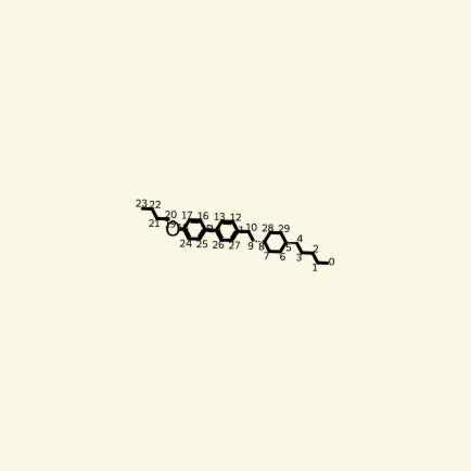 CCCCC[C@H]1CC[C@H](CCc2ccc(-c3ccc(OCCCC)cc3)cc2)CC1